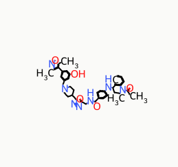 CCC(=O)N1c2ccccc2[C@H](Nc2ccc(C(=O)NCc3nnc(C4CCN(Cc5cc(O)cc(-c6c(C)noc6C)c5)CC4)o3)cc2)C[C@@H]1C